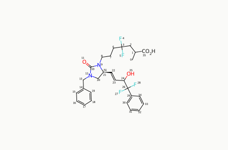 CC(CC(F)(F)CCCN1C(=O)N(Cc2ccccc2)C[C@@H]1C=CC(O)C(F)(F)c1ccccc1)C(=O)O